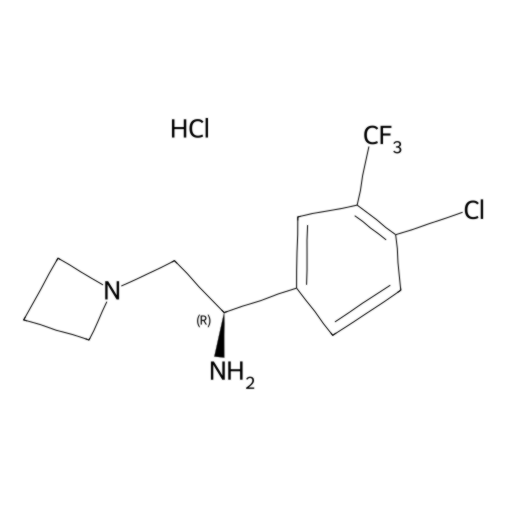 Cl.N[C@@H](CN1CCC1)c1ccc(Cl)c(C(F)(F)F)c1